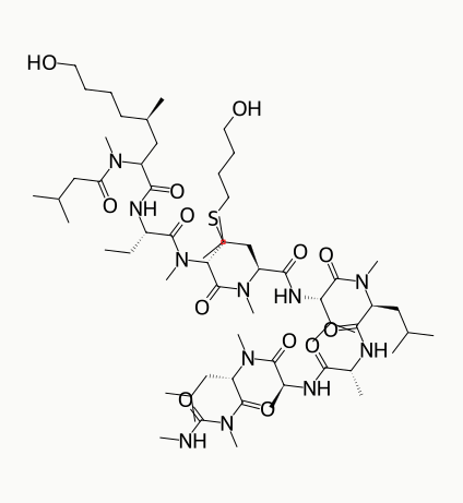 CC[C@H](NC(=O)C(C[C@H](C)CCCCO)N(C)C(=O)CC(C)C)C(=O)N(C)[C@H](CSCCCCO)C(=O)N(C)[C@@H](CC(C)C)C(=O)N[C@H](C(=O)N(C)[C@@H](CC(C)C)C(=O)N[C@H](C)C(=O)N[C@@H](C)C(=O)N(C)[C@@H](CC(C)C)C(=O)N(C)C(=O)NC)C(C)C